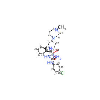 CN1CCCN(C2CCN([C@@](NC(=O)Nc3ccc(Cl)cc3)(C(N)=O)c3ccccc3)CC2)CC1